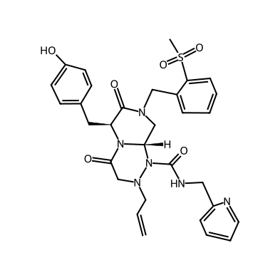 C=CCN1CC(=O)N2[C@@H](Cc3ccc(O)cc3)C(=O)N(Cc3ccccc3S(C)(=O)=O)C[C@@H]2N1C(=O)NCc1ccccn1